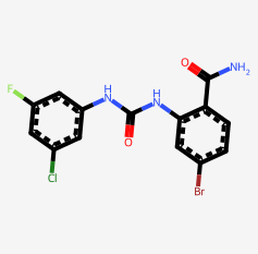 NC(=O)c1ccc(Br)cc1NC(=O)Nc1cc(F)cc(Cl)c1